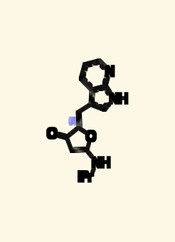 CC(C)NC1=CC(=O)/C(=C/c2c[nH]c3ncccc23)O1